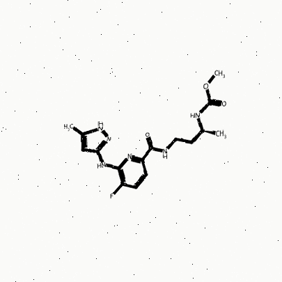 COC(=O)N[C@@H](C)CCNC(=O)c1ccc(F)c(Nc2cc(C)[nH]n2)n1